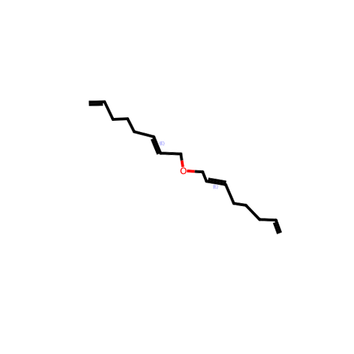 C=CCCC/C=C/COC/C=C/CCCC=C